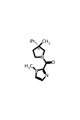 CC(C)[C@@]1(C)CCN(C(=O)c2nccn2C)C1